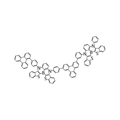 c1ccc(N2c3cccc4c3B(c3sc5ccccc5c32)c2sc3ccccc3c2N4c2cccc(-c3ccc4c5ccccc5c5cc(-c6ccc(N7c8cccc9c8B(c8sc%10ccccc%10c87)c7sc8ccccc8c7N9c7ccc(-c8cccc9c%10ccccc%10c%10ccccc%10c89)cc7)cc6)ccc5c4c3)c2)cc1